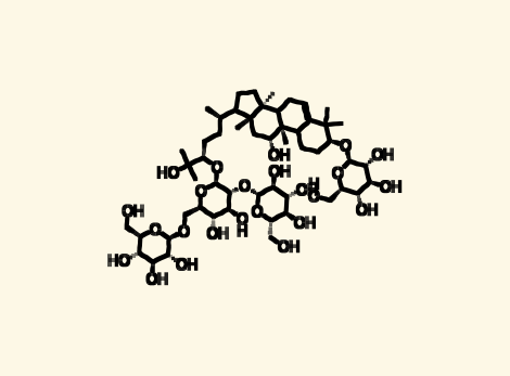 C[C@H](CC[C@@H](O[C@@H]1O[C@H](CO[C@@H]2O[C@H](CO)[C@@H](O)[C@H](O)[C@H]2O)[C@@H](O)[C@H](O)[C@H]1O[C@H]1O[C@@H](CO)[C@H](O)[C@@H](O)[C@@H]1O)C(C)(C)O)C1CC[C@@]2(C)C3CC=C4C(CC[C@H](O[C@@H]5O[C@H](CO)[C@@H](O)[C@H](O)[C@H]5O)C4(C)C)[C@]3(C)[C@H](O)C[C@]12C